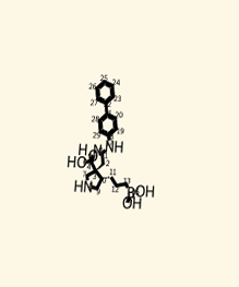 NC(C[C@]1(C(=O)O)CNC[C@H]1CCCB(O)O)Nc1ccc(-c2ccccc2)cc1